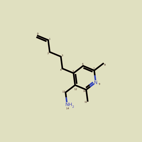 C=CCCCc1cc(C)nc(C)c1CN